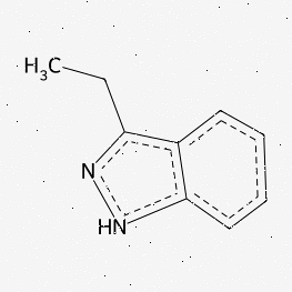 CCc1n[nH]c2ccccc12